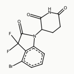 O=C1CCC(N2C(=O)C(F)(F)c3c(Br)cccc32)C(=O)N1